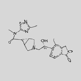 Cc1nsc(N(C)C(=O)C2C3CN(C[C@H](O)c4ccc5c(c4C)COC5=O)CC32)n1